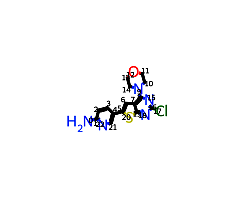 Nc1ccc(-c2cc3c(N4CCOCC4)nc(Cl)nc3s2)cn1